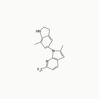 Cc1cc(-n2c(C)cc3ccc(C(F)(F)F)nc32)cc2c1NCC2